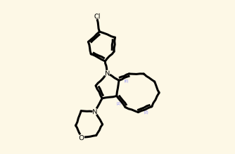 Clc1ccc(-n2cc(N3CCOCC3)c3/c2=C\CCC/C=C\C=3)cc1